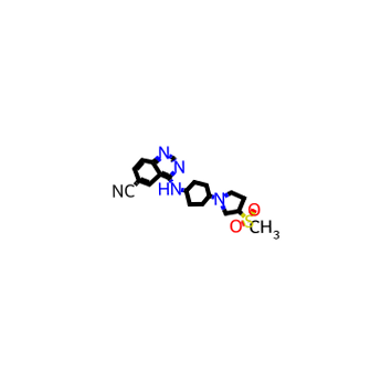 CS(=O)(=O)C1CCN(C2CCC(Nc3ncnc4ccc(C#N)cc34)CC2)C1